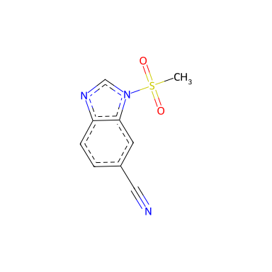 CS(=O)(=O)n1cnc2ccc(C#N)cc21